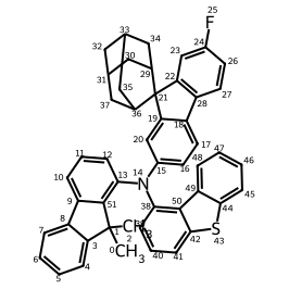 CC1(C)c2ccccc2-c2cccc(N(c3ccc4c(c3)C3(c5cc(F)ccc5-4)C4CC5CC(C4)CC3C5)c3cccc4sc5ccccc5c34)c21